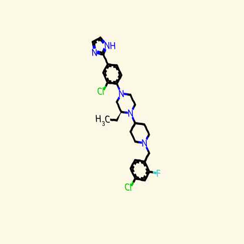 CC[C@H]1CN(c2ccc(-c3ncc[nH]3)cc2Cl)CCN1C1CCN(Cc2ccc(Cl)cc2F)CC1